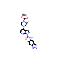 C[C@H]1CN(c2ccnc3c2CCN3C(=O)Nc2cc3cn(C)nc3cc2F)CCN1C(=O)OC(C)(C)C